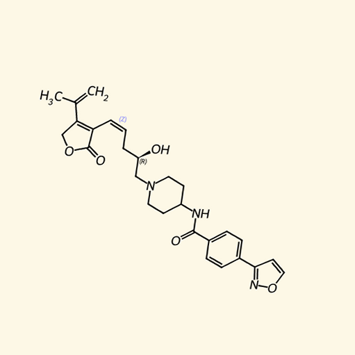 C=C(C)C1=C(/C=C\C[C@@H](O)CN2CCC(NC(=O)c3ccc(-c4ccon4)cc3)CC2)C(=O)OC1